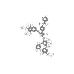 Cc1c(C#N)c(Nc2ccc(Cl)c(S(=O)(=O)O)c2)nc(Nc2ccc(Cl)c(S(=O)(=O)O)c2)c1N=Nc1sc(N=Nc2cc(S(=O)(=O)O)c3cc(S(=O)(=O)O)cc(S(=O)(=O)O)c3c2)c(-c2ccc(NC(=O)c3cccnc3)cc2)c1C#N